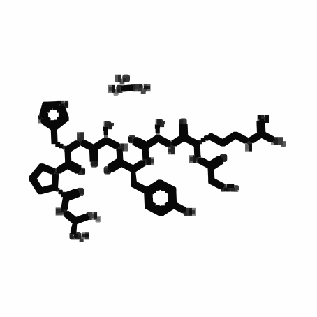 CC(=O)O.CNCC(=O)N[C@@H](CCCNC(=N)N)C(=O)N[C@H](C(=O)N[C@@H](Cc1ccc(O)cc1)C(=O)N[C@H](C(=O)N[C@@H](Cc1c[nH]cn1)C(=O)N1CCC[C@H]1C(=O)N[C@@H](C)C(=O)O)C(C)C)C(C)C.O